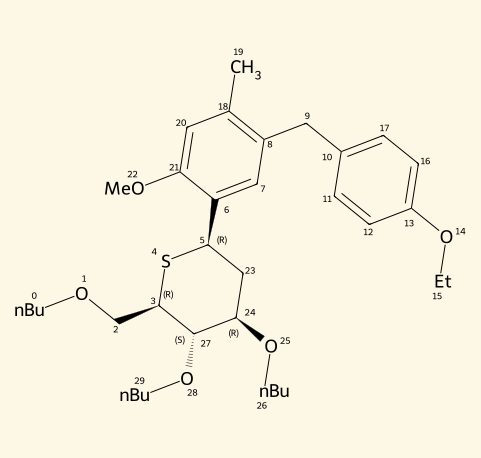 CCCCOC[C@H]1S[C@@H](c2cc(Cc3ccc(OCC)cc3)c(C)cc2OC)C[C@@H](OCCCC)[C@@H]1OCCCC